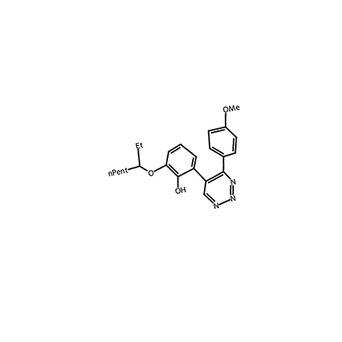 CCCCCC(CC)Oc1cccc(-c2cnnnc2-c2ccc(OC)cc2)c1O